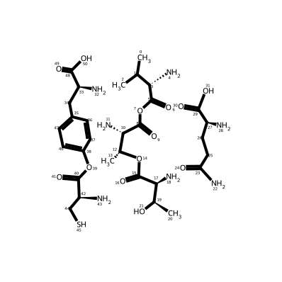 CC(C)[C@H](N)C(=O)OC(=O)[C@@H](N)[C@@H](C)OC(=O)[C@@H](N)[C@@H](C)O.NC(=O)CC[C@H](N)C(=O)O.N[C@@H](Cc1ccc(OC(=O)[C@@H](N)CS)cc1)C(=O)O